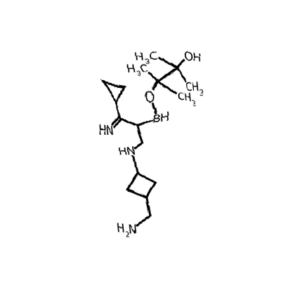 CC(C)(O)C(C)(C)OBC(CNC1CC(CN)C1)C(=N)C1CC1